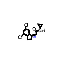 O=C(/C=C1/CCc2c(Cl)cc(Cl)cc21)NC1CC1